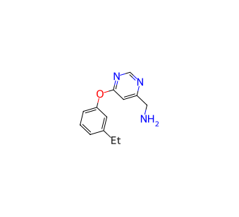 CCc1cccc(Oc2cc(CN)ncn2)c1